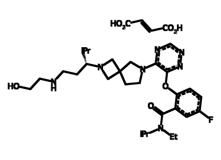 CCN(C(=O)c1cc(F)ccc1Oc1nncnc1N1CCC2(C1)CN([C@H](CCNCCO)C(C)C)C2)C(C)C.O=C(O)/C=C/C(=O)O